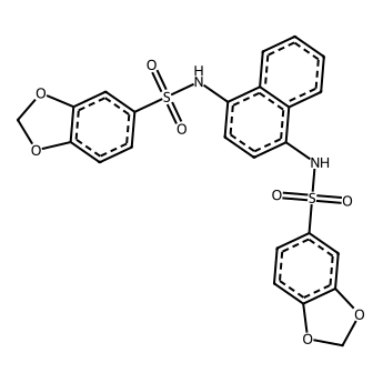 O=S(=O)(Nc1ccc(NS(=O)(=O)c2ccc3c(c2)OCO3)c2ccccc12)c1ccc2c(c1)OCO2